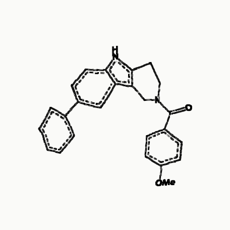 COc1ccc(C(=O)N2CCc3[nH]c4ccc(-c5ccccc5)cc4c3C2)cc1